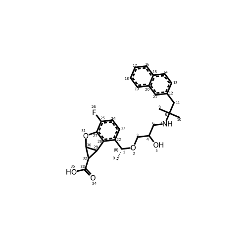 C[C@@H](OCC(O)CNC(C)(C)Cc1ccc2ccccc2c1)c1ccc(F)c2c1C1C(O2)C1C(=O)O